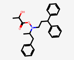 CC(O)C(=O)ON(CCC(c1ccccc1)c1ccccc1)C(C)Cc1ccccc1